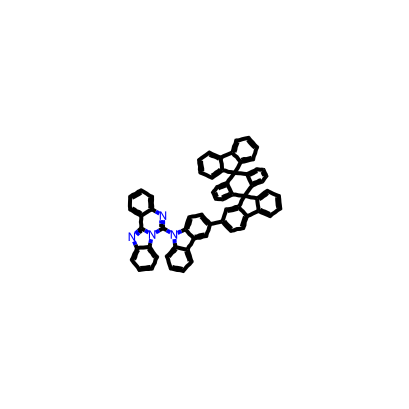 c1ccc2c(c1)-c1ccccc1C21c2ccccc2C2(c3ccccc3-c3ccc(-c4ccc5c(c4)c4ccccc4n5-c4nc5ccccc5c5nc6ccccc6n45)cc32)c2ccccc21